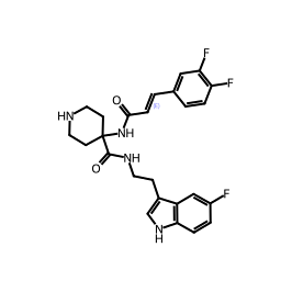 O=C(/C=C/c1ccc(F)c(F)c1)NC1(C(=O)NCCc2c[nH]c3ccc(F)cc23)CCNCC1